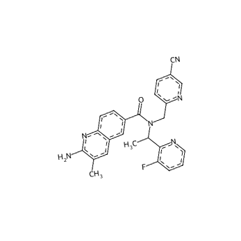 Cc1cc2cc(C(=O)N(Cc3ccc(C#N)cn3)C(C)c3ncccc3F)ccc2nc1N